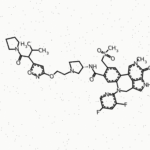 CC(C)C(C(=O)N1CCCC1)c1cc(OCCN2CC[C@H](NC(=O)c3cc4c(cc3CS(C)(=O)=O)-c3cn(C)c(=O)c5[nH]cc(c35)CN4c3ncc(F)cc3F)C2)no1